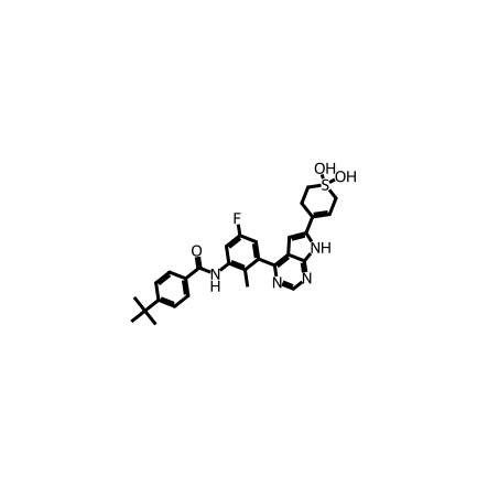 Cc1c(NC(=O)c2ccc(C(C)(C)C)cc2)cc(F)cc1-c1ncnc2[nH]c(C3=CCS(O)(O)CC3)cc12